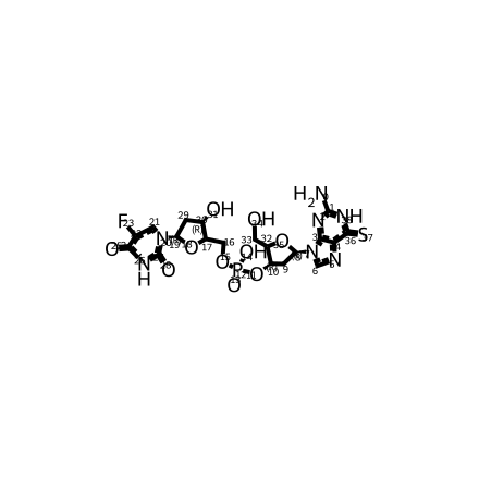 Nc1nc2c(ncn2[C@H]2C[C@@H](OP(=O)(O)OCC3O[C@@H](n4cc(F)c(=O)[nH]c4=O)C[C@H]3O)C(CO)O2)c(=S)[nH]1